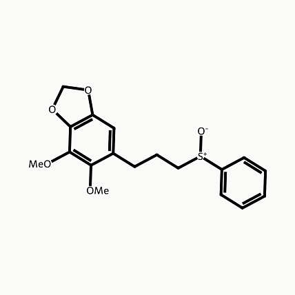 COc1c(CCC[S+]([O-])c2ccccc2)cc2c(c1OC)OCO2